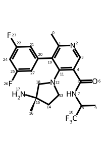 Cc1ncc(C(=O)NC(C)C(F)(F)F)c(N2CC[C@](C)(N)C2)c1-c1cc(F)cc(F)c1